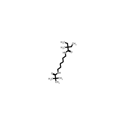 CCC(C)(CC)C(=O)NCCCCCCNC(=O)C(C)(C)C